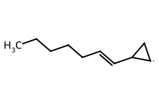 CCCCCC=CC1[CH]C1